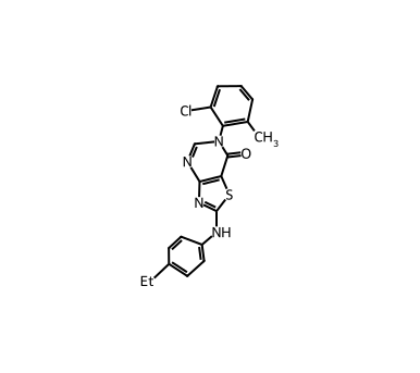 CCc1ccc(Nc2nc3ncn(-c4c(C)cccc4Cl)c(=O)c3s2)cc1